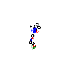 CC(C)c1ccccc1NC(=O)N/N=C/c1ccc(O/N=C2/CCc3cc(OC(F)(F)F)ccc32)cc1